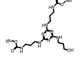 CC(C)(C)OC(=O)NCCCNc1nc(NCCCO)nc(NCCCNC(=O)OC(C)(C)C)n1